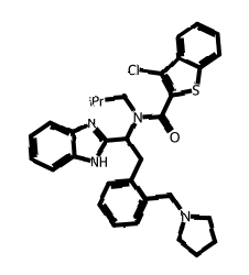 CC(C)CN(C(=O)c1sc2ccccc2c1Cl)C(Cc1ccccc1CN1CCCC1)c1nc2ccccc2[nH]1